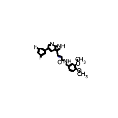 COc1ccc(CNC(=O)/C=C/c2c[nH]c3ncc(-c4cc(F)cc(F)c4)cc23)cc1OC